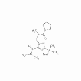 CSC(C)(C)c1nc(SC(C)C(=O)N2CCCC2)n(C(=O)N(C)C)n1